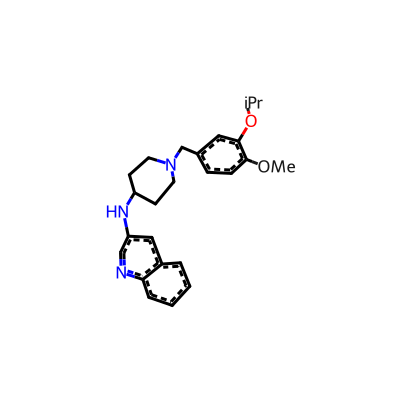 COc1ccc(CN2CCC(Nc3cnc4ccccc4c3)CC2)cc1OC(C)C